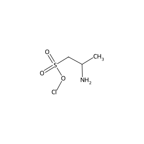 CC(N)CS(=O)(=O)OCl